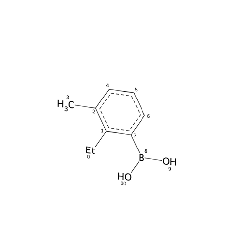 CCc1c(C)cccc1B(O)O